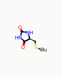 CCC(C)SC[C@@H]1NC(=O)NC1=O